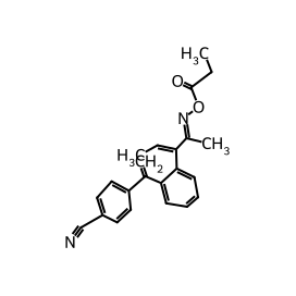 C=C(c1ccc(C#N)cc1)c1ccccc1C(=C\C)/C(C)=N/OC(=O)CC